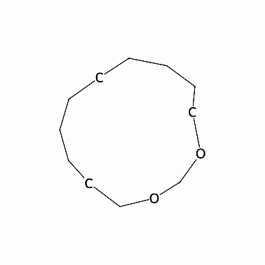 C1CCCCCOCOCCCC1